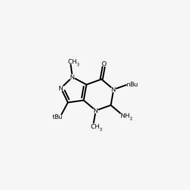 CCCCN1C(=O)c2c(c(C(C)(C)C)nn2C)N(C)C1N